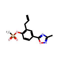 C=CCc1cc(-c2nc(C)no2)ccc1OS(=O)(=O)C(F)(F)F